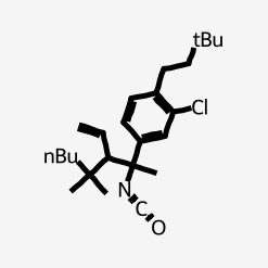 C=CC(C(C)(C)CCCC)C(C)(N=C=O)c1ccc(CCC(C)(C)C)c(Cl)c1